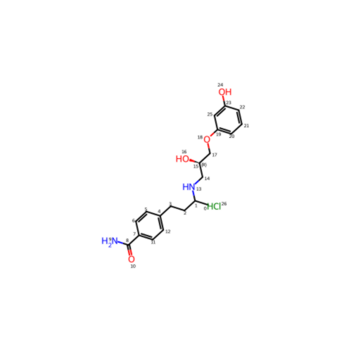 CC(CCc1ccc(C(N)=O)cc1)NC[C@@H](O)COc1cccc(O)c1.Cl